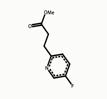 COC(=O)CCc1ccc(F)cn1